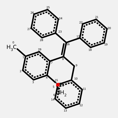 Cc1ccc(NN)c(C(Cc2ccccc2)=C(c2ccccc2)c2ccccc2)c1